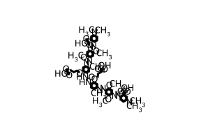 COc1cc(N=Nc2ccc(N(C)C)cc2S(=O)(=O)O)c(OC)cc1N=Nc1cc(OCCCS(=O)(=O)O)c(NC(=O)Nc2cc(C)c(N=Nc3cc(OC)c(N=Nc4ccc(N(C)C)cc4S(=O)(=O)O)cc3OC)cc2OCCCS(=O)(=O)O)cc1C